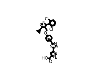 Cn1nc(-c2nc(C34CCC(OCc5c(-c6c(Cl)cccc6Cl)noc5C5CC5)(CC3)CC4)no2)cc1C(=O)O